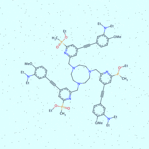 CCOP(C)c1cc(C#Cc2ccc(OC)c(N(CC)CC)c2)cc(CN2CCN(Cc3cc(C#Cc4ccc(OC)c(N(CC)CC)c4)cc(P(C)(=O)OCC)n3)CCN(Cc3cc(C#Cc4ccc(OC)c(N(CC)CC)c4)cc(P(C)(=O)OCC)n3)CC2)n1